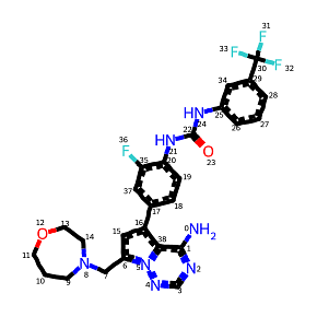 Nc1ncnn2c(CN3CCCOCC3)cc(-c3ccc(NC(=O)Nc4cccc(C(F)(F)F)c4)c(F)c3)c12